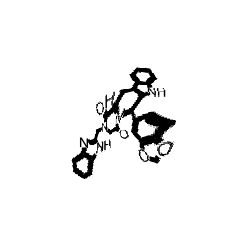 O=C1[C@@H]2Cc3c([nH]c4ccccc34)[C@@H](c3ccc4c(c3)OCO4)N2C(=O)CN1Cc1nc2ccccc2[nH]1